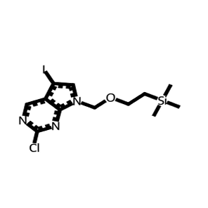 C[Si](C)(C)CCOCn1cc(I)c2cnc(Cl)nc21